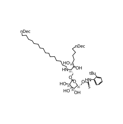 CCCCCCCCCCCCCCCCCCCCCCCCCCN[C@@H](CO[C@H]1O[C@H](COC(=S)Nc2ccccc2C(C)(C)C)[C@H](O)[C@H](O)[C@H]1O)[C@H](O)[C@H](O)CCCCCCCCCCCCCC